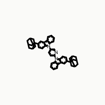 c1ccc2c(c1)c1cc(C34CC5CC(CC(C5)C3)C4)ccc1n2-c1ccc(-n2c3ccccc3c3cc(C45CC6CC(CC(C6)C4)C5)ccc32)nc1